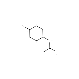 CC(NC1CCC(N)CC1)C(F)(F)F.Cl.Cl